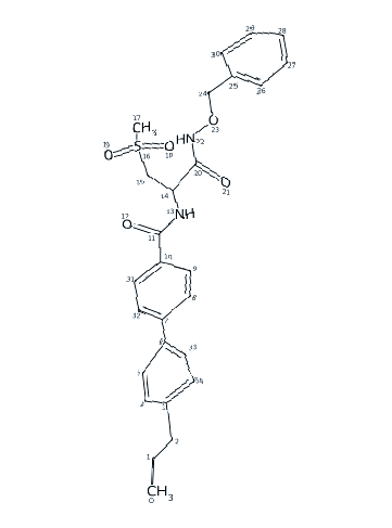 CCCc1ccc(-c2ccc(C(=O)NC(CS(C)(=O)=O)C(=O)NOCc3ccccc3)cc2)cc1